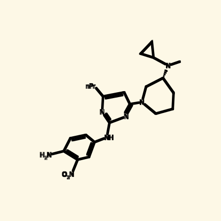 CCCc1cc(N2CCC[C@@H](N(C)C3CC3)C2)nc(Nc2ccc(N)c([N+](=O)[O-])c2)n1